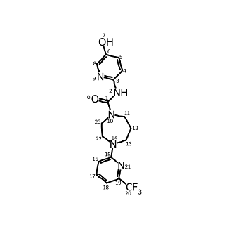 O=C(Nc1ccc(O)cn1)N1CCCN(c2cccc(C(F)(F)F)n2)CC1